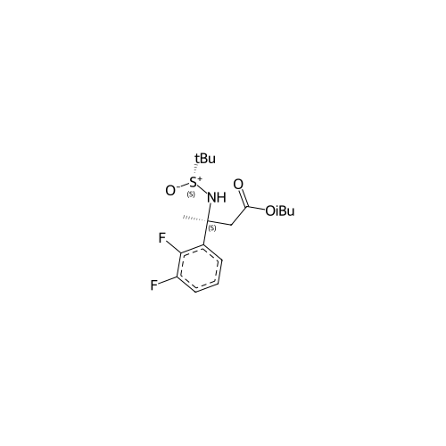 CC(C)COC(=O)C[C@](C)(N[S@+]([O-])C(C)(C)C)c1cccc(F)c1F